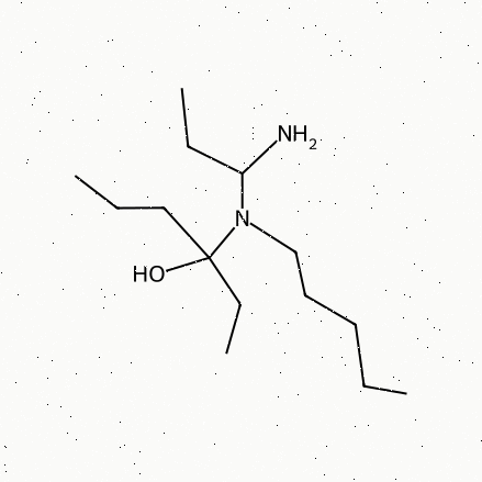 CCCCCN(C(N)CC)C(O)(CC)CCC